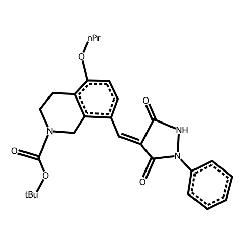 CCCOc1ccc(C=C2C(=O)NN(c3ccccc3)C2=O)c2c1CCN(C(=O)OC(C)(C)C)C2